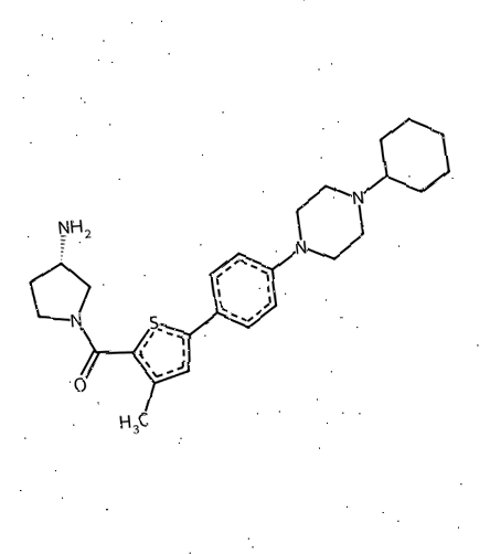 Cc1cc(-c2ccc(N3CCN(C4CCCCC4)CC3)cc2)sc1C(=O)N1CC[C@H](N)C1